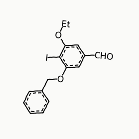 CCOc1cc(C=O)cc(OCc2ccccc2)c1I